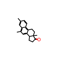 Cc1ccc2c3c(cc(C)c2c1)C1CCC(=O)C1(C)CC3